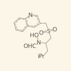 CC(C)CC(CS(=O)(=O)Cc1cnc2ccccc2c1)N(O)C=O